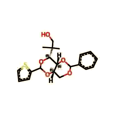 CC(C)(CO)[C@H]1OC(c2cccs2)O[C@H]2COC(c3ccccc3)O[C@H]21